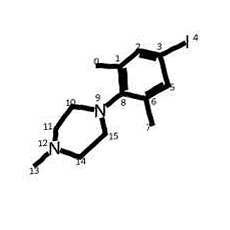 Cc1cc(I)cc(C)c1N1CCN(C)CC1